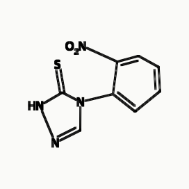 O=[N+]([O-])c1ccccc1-n1cn[nH]c1=S